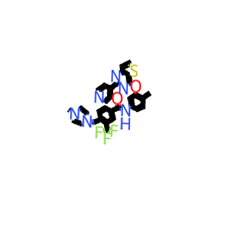 Cc1ccc(NC(=O)c2ccc(CN3CCN(C)CC3)c(C(F)(F)F)c2)cc1Oc1nc(-c2ccncc2)nc2ccsc12